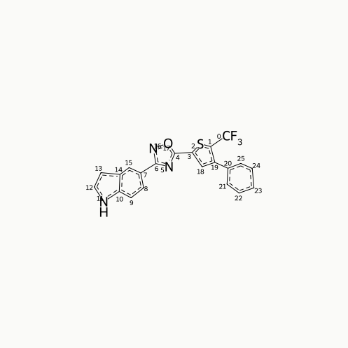 FC(F)(F)c1sc(-c2nc(-c3ccc4[nH]ccc4c3)no2)cc1-c1ccccc1